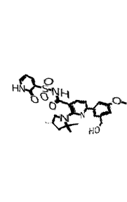 COc1cc(CO)cc(-c2ccc(C(=O)NS(=O)(=O)c3ccc[nH]c3=O)c(N3C[C@@H](C)CC3(C)C)n2)c1